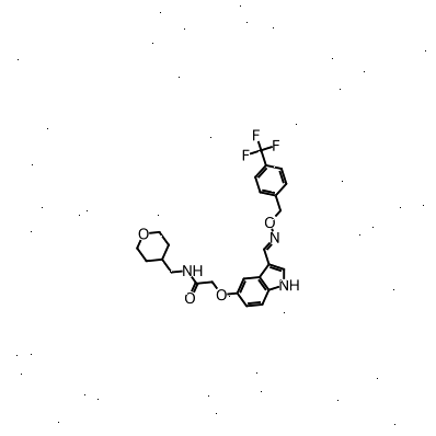 O=C(COc1ccc2[nH]cc(C=NOCc3ccc(C(F)(F)F)cc3)c2c1)NCC1CCOCC1